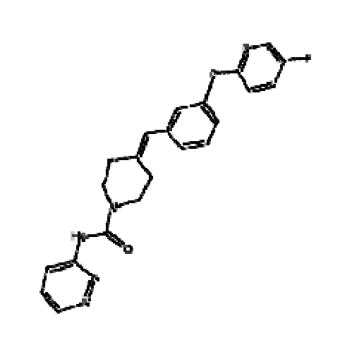 O=C(Nc1cccnn1)N1CCC(=Cc2cccc(Oc3ccc(F)cn3)c2)CC1